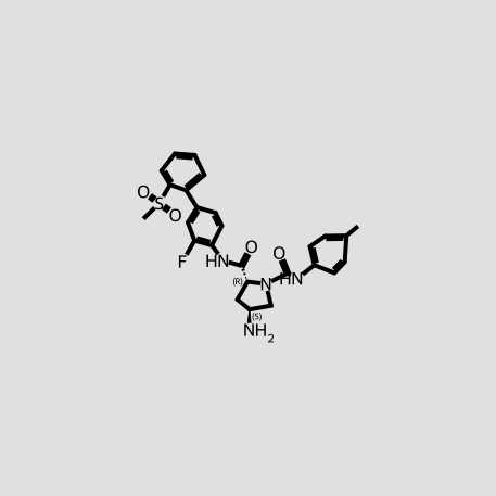 Cc1ccc(NC(=O)N2C[C@@H](N)C[C@@H]2C(=O)Nc2ccc(-c3ccccc3S(C)(=O)=O)cc2F)cc1